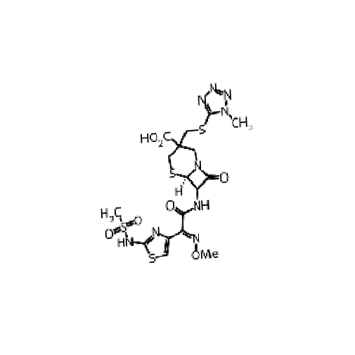 CON=C(C(=O)NC1C(=O)N2CC(CSc3nnnn3C)(C(=O)O)CS[C@H]12)c1csc(NS(C)(=O)=O)n1